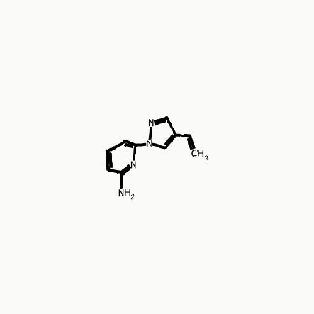 C=Cc1cnn(-c2cccc(N)n2)c1